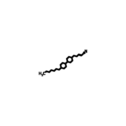 CCCCCCCC1CCC(C2CCC(CCC=CC#N)CC2)CC1